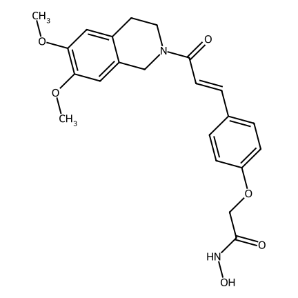 COc1cc2c(cc1OC)CN(C(=O)/C=C/c1ccc(OCC(=O)NO)cc1)CC2